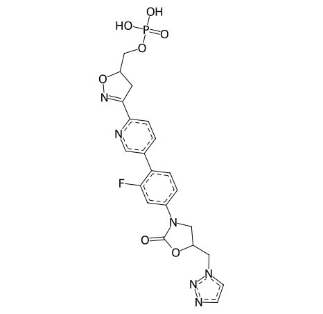 O=C1OC(Cn2ccnn2)CN1c1ccc(-c2ccc(C3=NOC(COP(=O)(O)O)C3)nc2)c(F)c1